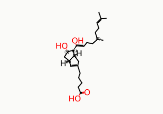 CC(C)=CCC[C@@H](C)CCC=C(O)[C@H]1[C@@H]2CC(CCCCC(=O)O)=C[C@@H]2C[C@@H]1O